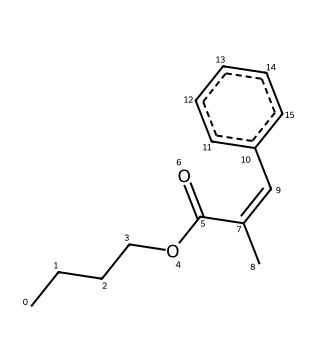 CCCCOC(=O)C(C)=Cc1ccccc1